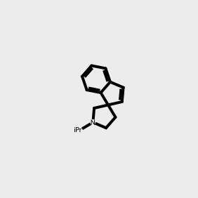 CC(C)N1CCC2(C=Cc3ccccc32)C1